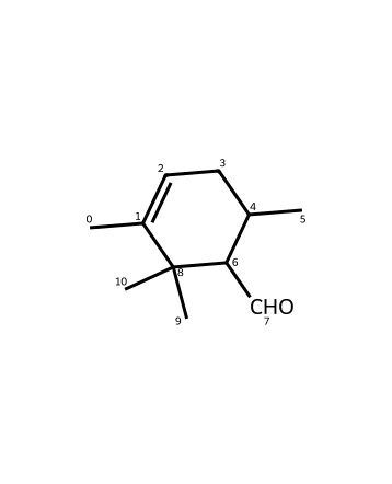 CC1=CCC(C)C(C=O)C1(C)C